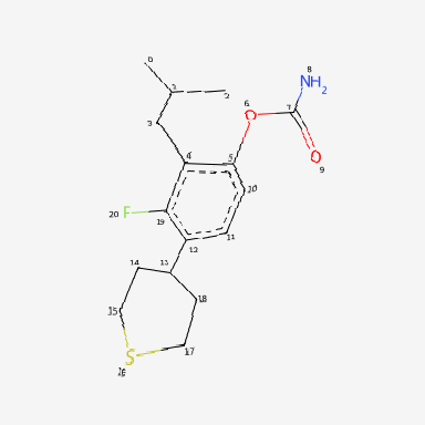 CC(C)Cc1c(OC(N)=O)ccc(C2CCSCC2)c1F